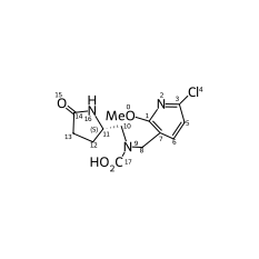 COc1nc(Cl)ccc1CN(C[C@@H]1CCC(=O)N1)C(=O)O